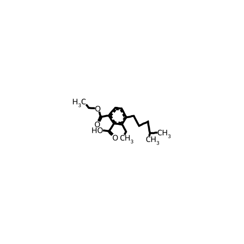 CCOC(=O)c1ccc(CCCC(C)C)c(CC)c1C(=O)O